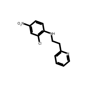 O=[N+]([O-])c1ccc(NCCc2ccccn2)c(Cl)c1